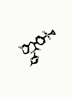 O=C(Nc1ncc(F)s1)C(CC1CCNC1)c1ccc(S(=O)(=O)C2CC2)cc1